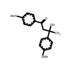 CSc1ccc(C(=O)CC(C)(O)c2ccc(SC)cc2)cc1